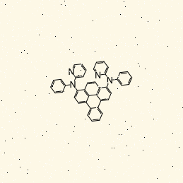 c1ccc(N(c2ccccn2)c2ccc3c4ccccc4c4ccc(N(c5ccccc5)c5ccccn5)c5ccc2c3c54)cc1